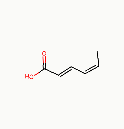 C/C=C\C=C\C(=O)O